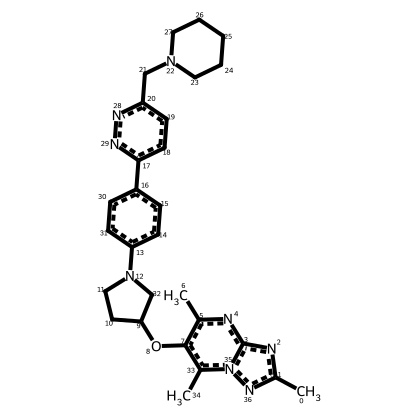 Cc1nc2nc(C)c(OC3CCN(c4ccc(-c5ccc(CN6CCCCC6)nn5)cc4)C3)c(C)n2n1